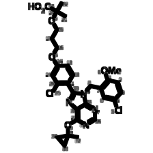 COc1ccc(Cl)cc1Cn1c(-c2ccc(OCCCOC(C)(C)C(=O)O)cc2Cl)nc2c(OC3(C)CC3)ncnc21